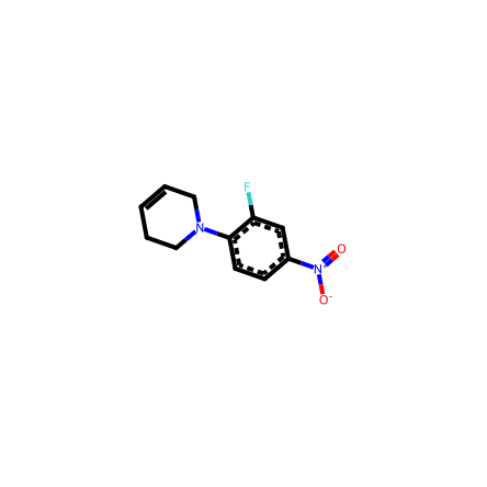 O=[N+]([O-])c1ccc(N2CC=CCC2)c(F)c1